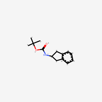 CC(C)(C)OC(=O)NC1Cc2ccccc2C1